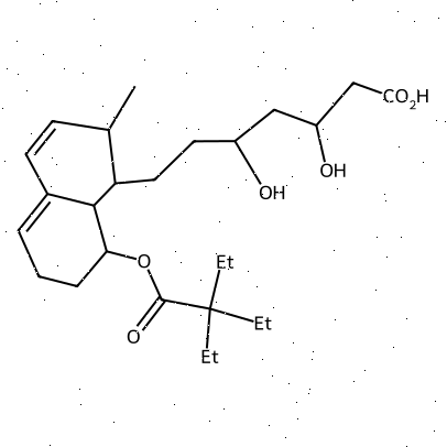 CCC(CC)(CC)C(=O)OC1CCC=C2C=CC(C)C(CCC(O)CC(O)CC(=O)O)C21